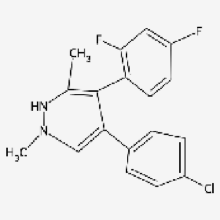 CC1=C(c2ccc(F)cc2F)C(c2ccc(Cl)cc2)=CN(C)N1